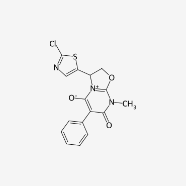 Cn1c2[n+](c([O-])c(-c3ccccc3)c1=O)C(c1cnc(Cl)s1)CO2